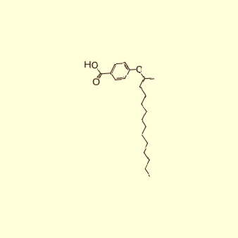 CCCCCCCCCCCCC(C)Oc1ccc(C(=O)O)cc1